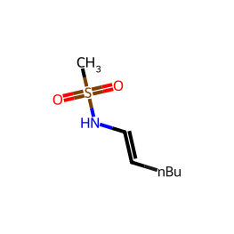 CCCC/C=C/NS(C)(=O)=O